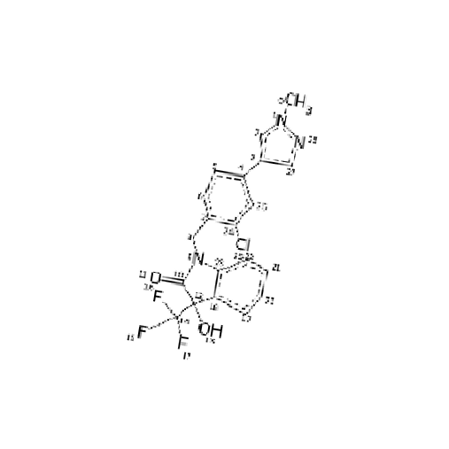 Cn1cc(-c2ccc(CN3C(=O)C(O)(C(F)(F)F)c4ccccc43)c(Cl)c2)cn1